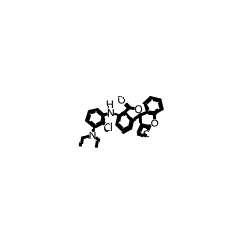 CCN(CC)c1cccc(Nc2cccc3c2C(=O)OC32c3ccccc3Oc3ccccc32)c1Cl